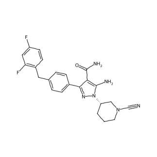 N#CN1CCC[C@H](n2nc(-c3ccc(Cc4ccc(F)cc4F)cc3)c(C(N)=O)c2N)C1